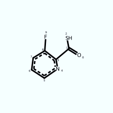 O=C(S)c1ncccc1F